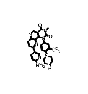 Cn1c(=O)c2cnc3ccc(-c4ccc(N)nc4)nc3c2n(-c2ccc(N3CCNCC3)c(C(F)(F)F)c2)c1=O